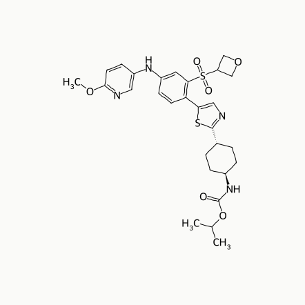 COc1ccc(Nc2ccc(-c3cnc([C@H]4CC[C@H](NC(=O)OC(C)C)CC4)s3)c(S(=O)(=O)C3COC3)c2)cn1